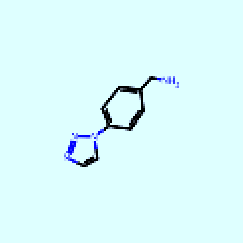 NCc1c[c]c(-n2ccnn2)cc1